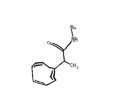 [CH2]CC(C)NC(=O)C(C)c1ccccc1